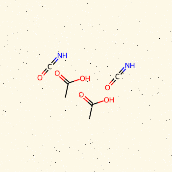 CC(=O)O.CC(=O)O.N=C=O.N=C=O